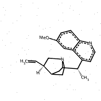 C=C[C@H]1CN2CCC1CC2[C@@H](C)c1ccnc2ccc(OC)cc12